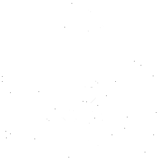 CCOP(=O)(O)OCCCCCNC(=O)c1ccc(C(=O)O)c(-c2c3ccc(=O)cc-3oc3cc(ON)ccc23)c1